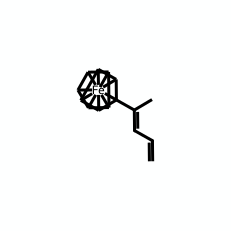 C=CC=C(C)[C]12[CH]3[CH]4[CH]5[CH]1[Fe]45321678[CH]2[CH]1[CH]6[CH]7[CH]28